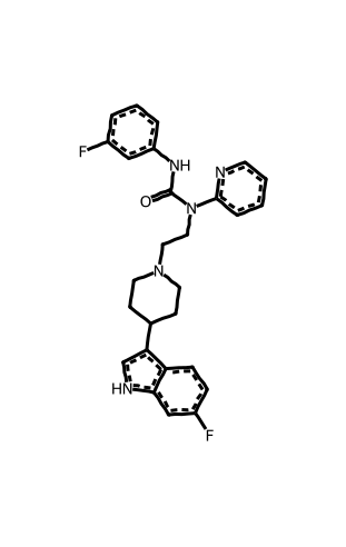 O=C(Nc1cccc(F)c1)N(CCN1CCC(c2c[nH]c3cc(F)ccc23)CC1)c1ccccn1